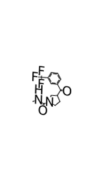 CNC(=O)N1CCC(C(=O)c2cccc(C(F)(F)F)c2)C1